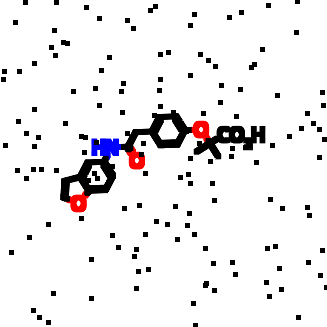 CC(C)(Oc1ccc(CC(=O)Nc2ccc3occc3c2)cc1)C(=O)O